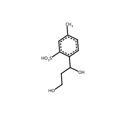 Cc1ccc(C(O)CCO)c(S(=O)(=O)O)c1